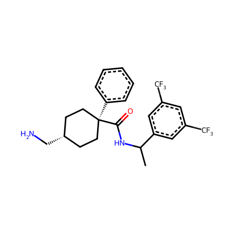 CC(NC(=O)[C@]1(c2ccccc2)CC[C@@H](CN)CC1)c1cc(C(F)(F)F)cc(C(F)(F)F)c1